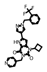 O=c1c2[nH]c(-c3cnn(Cc4ccccc4C(F)(F)F)c3)cc2n(C2CCC2)c(=O)n1Cc1ccncc1